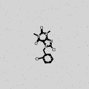 Cn1c(=O)c2c(nc(Cl)n2Cc2ccccc2Cl)n(C)c1=O